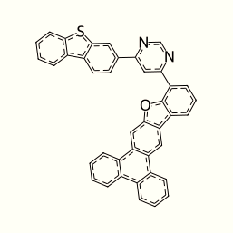 c1ccc2c(c1)sc1cc(-c3cc(-c4cccc5c4oc4cc6c7ccccc7c7ccccc7c6cc45)ncn3)ccc12